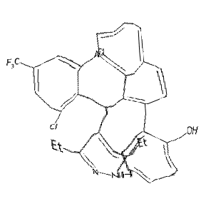 CCc1n[nH]c(CC)c1C(c1c(Cl)cc(C(F)(F)F)cc1Cl)c1c(-c2ccccc2O)ccc2cccnc12